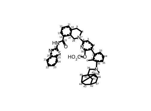 Cc1c(-c2ccc(N3CCc4cccc(C(=O)Nc5nc6ccccc6s5)c4C3)nc2OC(=O)O)cccc1N(C)CC12CC3CC(CC(C3)C1)C2